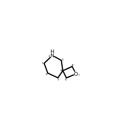 C1CNCC2(C1)COC2